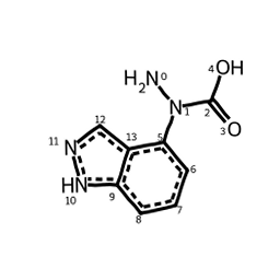 NN(C(=O)O)c1cccc2[nH]ncc12